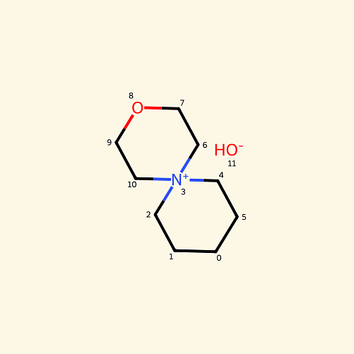 C1CC[N+]2(CC1)CCOCC2.[OH-]